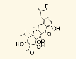 C=C(CF)Cc1ccc(O)c2c1C[C@]1(C)C[C@]3(C)C(C(C)C)C(O)=C(C(C)=O)C(=O)[C@]3(O)C(O)=C1C2=O